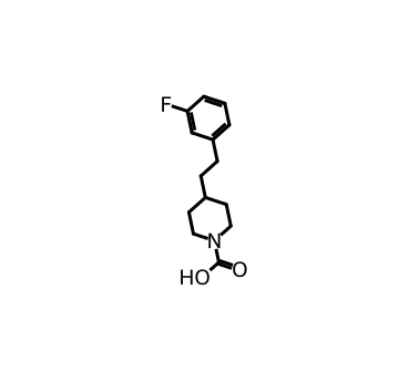 O=C(O)N1CCC(CCc2cccc(F)c2)CC1